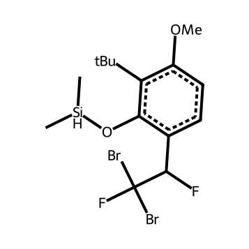 COc1ccc(C(F)C(F)(Br)Br)c(O[SiH](C)C)c1C(C)(C)C